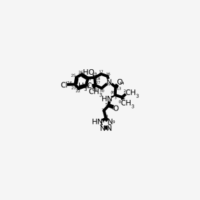 CC(C)[C@@H](NC(=O)Cc1nnn[nH]1)C(=O)N1CC[C@](O)(c2ccc(Cl)cc2)C(C)(C)C1